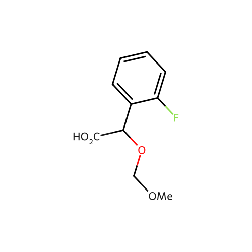 COCOC(C(=O)O)c1ccccc1F